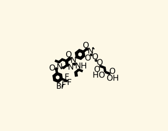 C=CC(C)Nc1nc2c(c(=O)n1-c1ccc(C(=O)N(C)C(=O)OCOC(=O)CC(O)C(=O)O)cc1)CC(C)N(C(=O)c1ccc(Br)c(C(F)(F)F)c1)C2